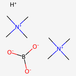 C[N+](C)(C)C.C[N+](C)(C)C.[H+].[O-]B([O-])[O-]